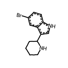 Brc1ccc2[nH]cc(C3CCCCN3)c2c1